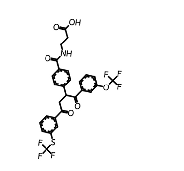 O=C(O)CCNC(=O)c1ccc(C(CC(=O)c2cccc(SC(F)(F)F)c2)C(=O)c2cccc(OC(F)(F)F)c2)cc1